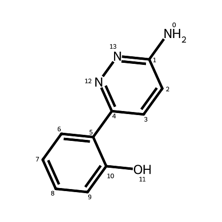 Nc1ccc(-c2ccccc2O)nn1